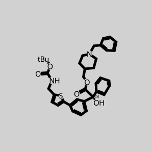 CC(C)(C)OC(=O)NCc1ccc(-c2cccc([C@](O)(C(=O)OCC3CCN(Cc4ccccc4)CC3)c3ccccc3)c2)s1